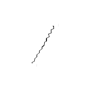 CCCCCCCCC/C=C/C/C=C/CCCCCC(=O)O